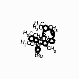 Cc1cc2c3c(c1)N1c4ccccc4-c4ccc(cc4)C4(C)CCC(C)(C)c5c4sc1c5B3c1cc3c(cc1N2c1ccc(C(C)(C)C)cc1)C(C)(C)CCC3(C)C